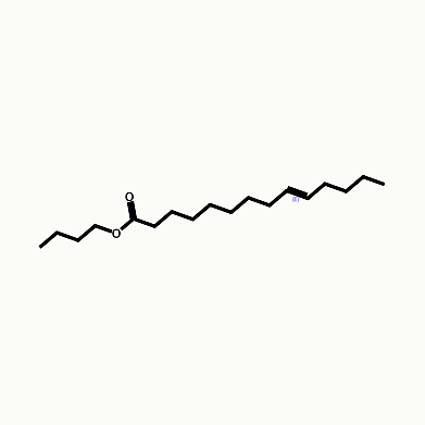 CCCC/C=C/CCCCCCCC(=O)OCCCC